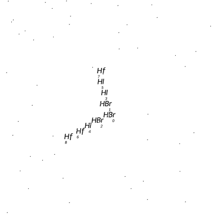 Br.Br.Br.I.I.I.[Hf].[Hf].[Hf]